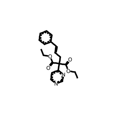 CCOC(=O)C(CC=Cc1ccccc1)(C(=O)OCC)c1ccncn1